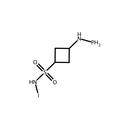 O=S(=O)(NI)C1CC(NP)C1